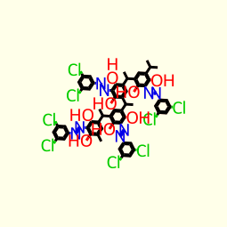 Cc1cc(C(C)c2cc(C(C)c3cc(C(C)c4cc(C(C)C)c(O)c(N=Nc5cc(Cl)cc(Cl)c5)c4O)c(O)c(N=Nc4cc(Cl)cc(Cl)c4)c3O)c(O)c(N=Nc3cc(Cl)cc(Cl)c3)c2O)c(O)c(N=Nc2cc(Cl)cc(Cl)c2)c1O